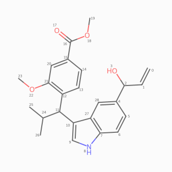 C=CC(O)c1ccc2[nH]cc(C(c3ccc(C(=O)OC)cc3OC)C(C)C)c2c1